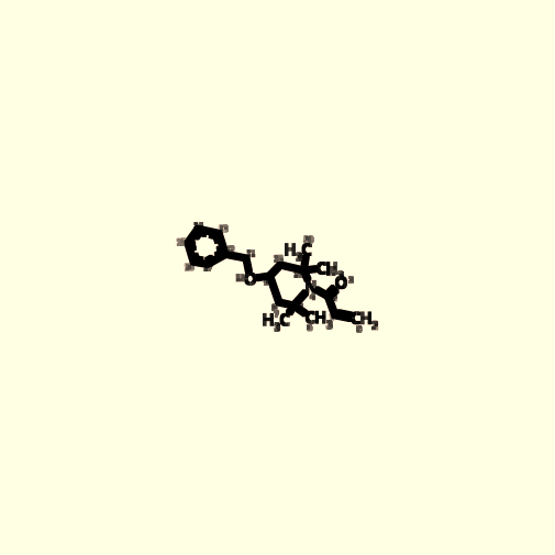 C=CC(=O)N1C(C)(C)CC(OCc2ccccc2)CC1(C)C